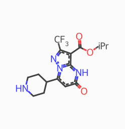 CC(C)OC(=O)c1c(C(F)(F)F)nn2c(C3CCNCC3)cc(=O)[nH]c12